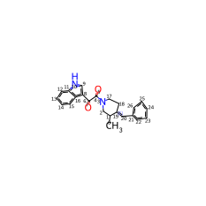 CC1CN(C(=O)C(=O)c2c[nH]c3ccccc23)CC/C1=C\c1ccccc1